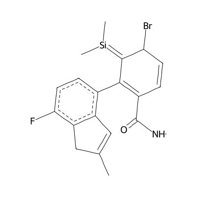 CC1=Cc2c(C3=C(C([NH])=O)C=CC(Br)C3=[Si](C)C)ccc(F)c2C1